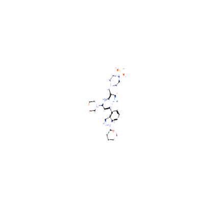 CS(=O)(=O)N1CCN(Cc2cnn3c(-c4cccc5c4cnn5C4CCCCO4)cc(N4CCOCC4)nc23)CC1